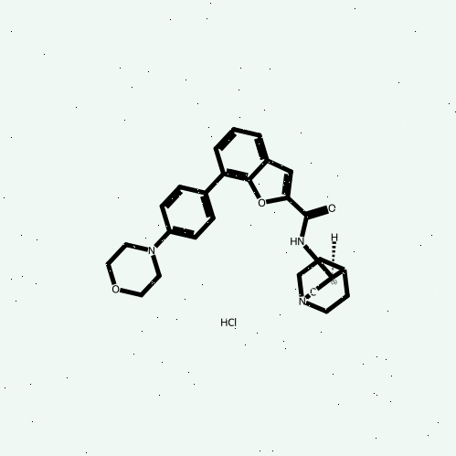 Cl.O=C(N[C@@H]1CN2CCC1CC2)c1cc2cccc(-c3ccc(N4CCOCC4)cc3)c2o1